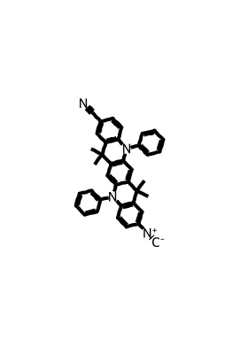 [C-]#[N+]c1ccc2c(c1)C(C)(C)c1cc3c(cc1N2c1ccccc1)C(C)(C)c1cc(C#N)ccc1N3c1ccccc1